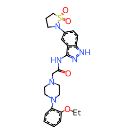 CCOc1ccccc1N1CCN(CC(=O)Nc2n[nH]c3ccc(N4CCCS4(=O)=O)cc23)CC1